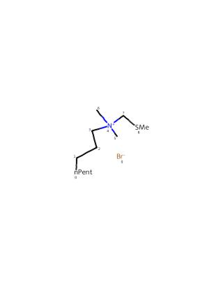 CCCCCCCC[N+](C)(C)CSC.[Br-]